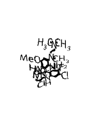 COc1cc(N(C)CCN(C)C)c(N)cc1Nc1ncc(Cl)c(Nc2cc(Cl)c(F)cc2C(C)(C)O)n1